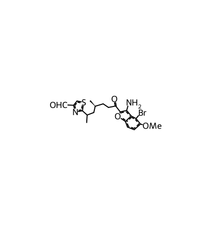 COc1ccc2oc(C(=O)CC[C@H](C)CC(C)c3nc(C=O)cs3)c(N)c2c1Br